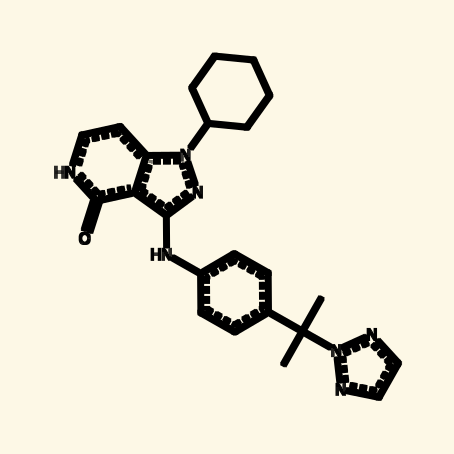 CC(C)(c1ccc(Nc2nn(C3CCCCC3)c3cc[nH]c(=O)c23)cc1)n1nccn1